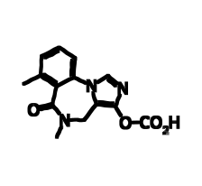 Cc1cccc2c1C(=O)N(C)Cc1c(OC(=O)O)ncn1-2